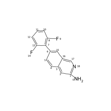 Nc1cc2ccc(-c3c(F)cccc3F)cc2cn1